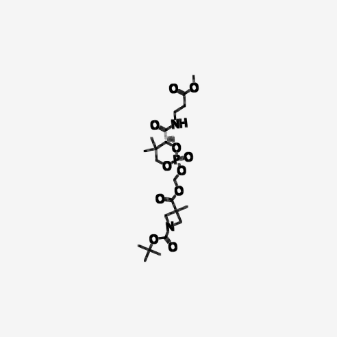 COC(=O)CCNC(=O)[C@@H]1OP(=O)(OCOC(=O)C2(C)CN(C(=O)OC(C)(C)C)C2)OCC1(C)C